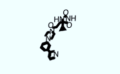 O=C1NC(=O)C(CCC(=O)N2CCN(c3cccc(-c4cccnc4)c3)CC2)(C2CC2)N1